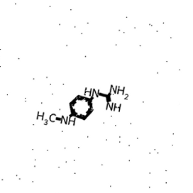 CNc1ccc(NC(=N)N)cc1